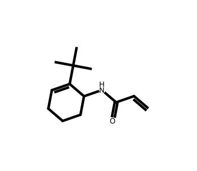 C=CC(=O)NC1CCCC=C1C(C)(C)C